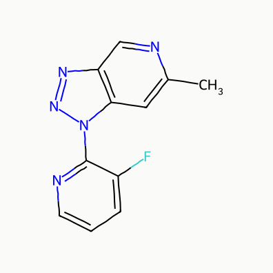 Cc1cc2c(cn1)nnn2-c1ncccc1F